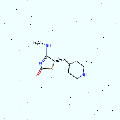 CNC1=NC(=O)S/C1=C\C1CCNCC1